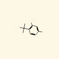 COc1cc(Cl)ccc1C(C)(C)N.Cl